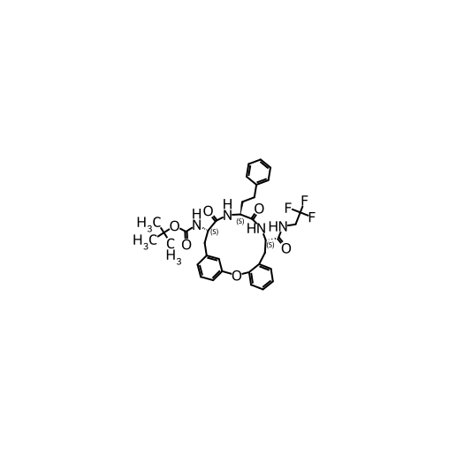 CC(C)(C)OC(=O)N[C@H]1Cc2cccc(c2)Oc2ccccc2C[C@@H](C(=O)NCC(F)(F)F)NC(=O)[C@H](CCc2ccccc2)NC1=O